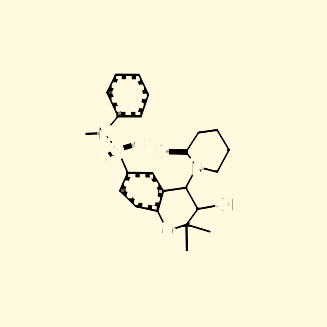 CN(c1ccccc1)S(=O)(=O)c1ccc2c(c1)C(N1CCCCC1=O)C(O)C(C)(C)O2